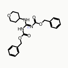 O=C(/N=C(/NC(=O)OCc1ccccc1)NC1CCOCC1)OCc1ccccc1